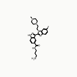 CN1CCN(CCn2c(-c3n[nH]c4ccc(C(=O)NCCCN)cc34)nc3ccc(F)cc32)CC1